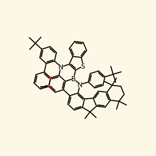 Cc1cc2c3c(c1)N(c1ccc(C(C)(C)C)cc1-c1ccccc1)c1c(sc4ccccc14)B3N(c1ccc(C(C)(C)C)cc1)c1c-2ccc2c1-c1cc3c(cc1C2(C)C)C(C)(C)CCC3(C)C